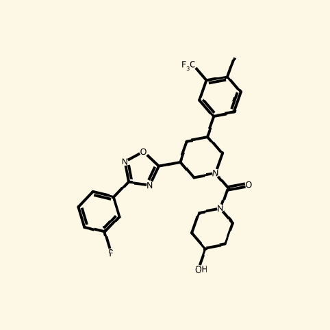 Cc1ccc(C2CC(c3nc(-c4cccc(F)c4)no3)CN(C(=O)N3CCC(O)CC3)C2)cc1C(F)(F)F